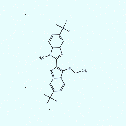 CCSc1c(-c2nc3nc(C(F)(F)F)ccc3n2C)nc2cc(C(F)(F)F)ccn12